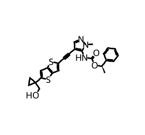 C[C@@H](OC(=O)Nc1c(C#Cc2cc3sc(C4(CO)CC4)cc3s2)cnn1C)c1ccccc1